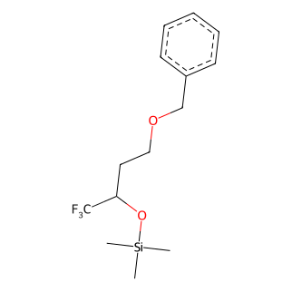 C[Si](C)(C)OC(CCOCc1ccccc1)C(F)(F)F